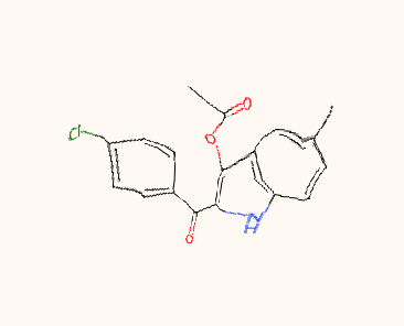 CC(=O)Oc1c(C(=O)c2ccc(Cl)cc2)[nH]c2ccc(C)cc12